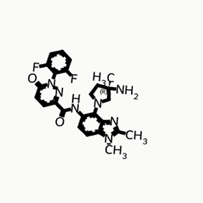 Cc1nc2c(N3CC[C@@](C)(N)C3)c(NC(=O)c3ccc(=O)n(-c4c(F)cccc4F)n3)ccc2n1C